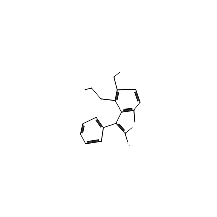 O=C(O)Cc1ccc2oc([N+](=O)[O-])c(-c3ccccc3)c2c1CCO